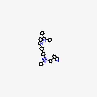 c1ccc(-c2cc(-c3ccccc3)c3ccc4ccc(-c5ccc(-c6ccc(-c7nc(-c8ccccc8)nc(-c8cccc(-c9cccc%10ccncc9%10)c8)n7)cc6)cc5)nc4c3n2)cc1